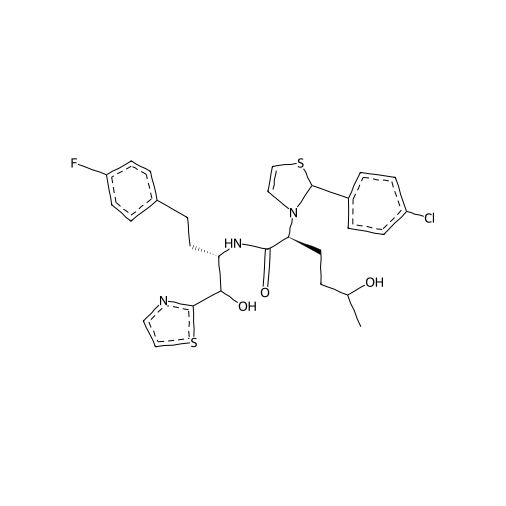 CC(O)CC[C@@H](C(=O)N[C@@H](CCc1ccc(F)cc1)C(O)c1nccs1)N1C=CSC1c1ccc(Cl)cc1